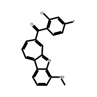 CNc1cccc2c3cccc(C(=O)c4ccc(F)cc4Cl)cc-3nc12